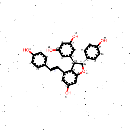 Oc1ccc(/C=C/c2cc(O)cc3c2[C@@H](c2cc(O)cc(O)c2)[C@H](c2ccc(O)cc2)O3)cc1